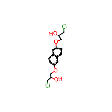 OC(CCl)COc1ccc2cc(OCC(O)CCl)ccc2c1